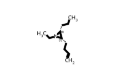 C=CCC[C@H]1[C@@H](CCC)N1CC